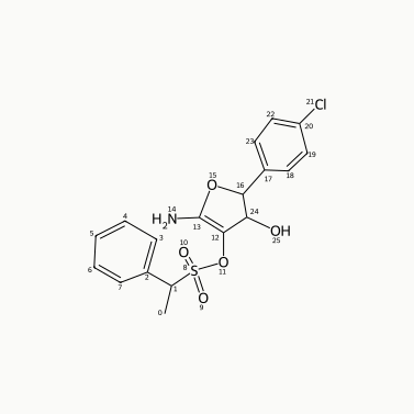 CC(c1ccccc1)S(=O)(=O)OC1=C(N)OC(c2ccc(Cl)cc2)C1O